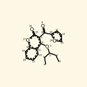 CCC(CC)Oc1c(C(=O)c2ccco2)c(=O)oc2ccccc12